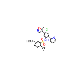 Cc1oncc1-c1cc(NS(=O)(=O)c2cc(C(=O)O)ccc2C2CC2)c(-c2ccccn2)cc1Cl